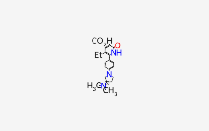 CCc1cc(C(=O)O)c(=O)[nH]c1-c1ccc(N2CC[C@H](N(C)C)C2)cc1